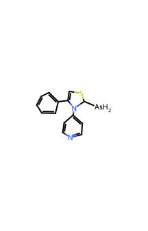 [AsH2]C1SC=C(c2ccccc2)N1c1ccncc1